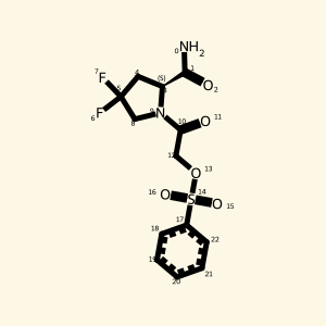 NC(=O)[C@@H]1CC(F)(F)CN1C(=O)COS(=O)(=O)c1ccccc1